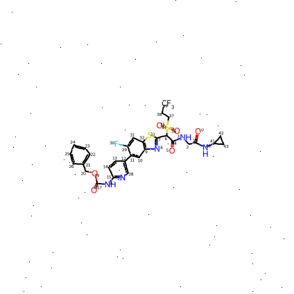 O=C(CNC(=O)C(c1nc2cc(-c3ccc(NC(=O)OCc4ccccc4)nc3)c(F)cc2s1)S(=O)(=O)CCC(F)(F)F)NC1CC1